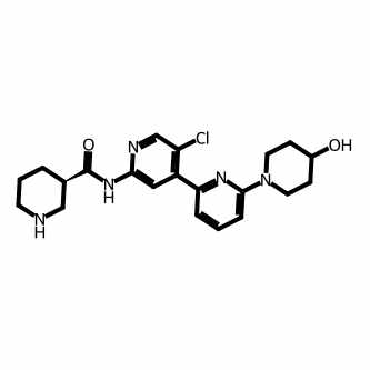 O=C(Nc1cc(-c2cccc(N3CCC(O)CC3)n2)c(Cl)cn1)[C@@H]1CCCNC1